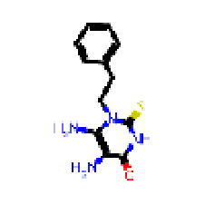 Nc1c(N)n(CCc2ccccc2)c(=S)[nH]c1=O